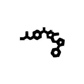 O=C(O)Cc1ccc(NC2=NC(=O)C(=Cc3cccn3-c3ccccc3)S2)cc1